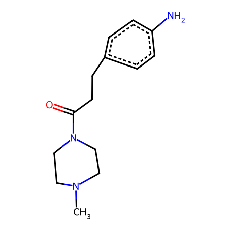 CN1CCN(C(=O)CCc2ccc(N)cc2)CC1